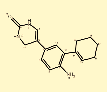 Nc1ccc(C2=CNC(=O)NC2)cc1C1=CCCCC1